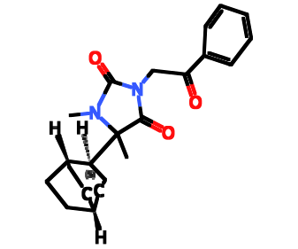 CN1C(=O)N(CC(=O)c2ccccc2)C(=O)C1(C)[C@H]1CC[C@H]2CC[C@@H]1CC2